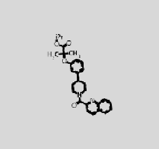 CC(C)OC(=O)C(C)(C)Oc1cccc(C2CCN(C(=O)c3ccc4ccccc4n3)CC2)c1